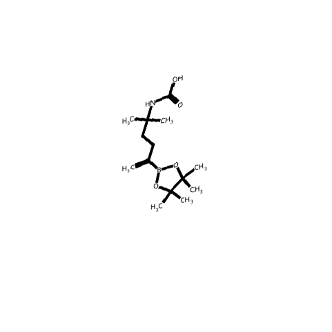 C=C(CCC(C)(C)NC(=O)O)B1OC(C)(C)C(C)(C)O1